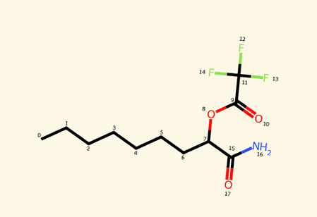 CCCCCCCC(OC(=O)C(F)(F)F)C(N)=O